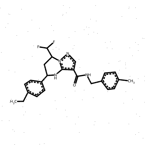 CCc1ccc(C2CC(C(F)F)n3ncc(C(=O)NCc4ccc(C)cc4)c3N2)cc1